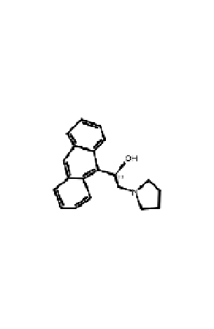 O[C@@H](CN1CCCC1)c1c2ccccc2cc2ccccc12